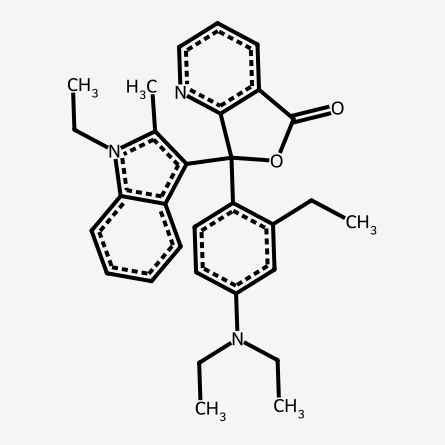 CCc1cc(N(CC)CC)ccc1C1(c2c(C)n(CC)c3ccccc23)OC(=O)c2cccnc21